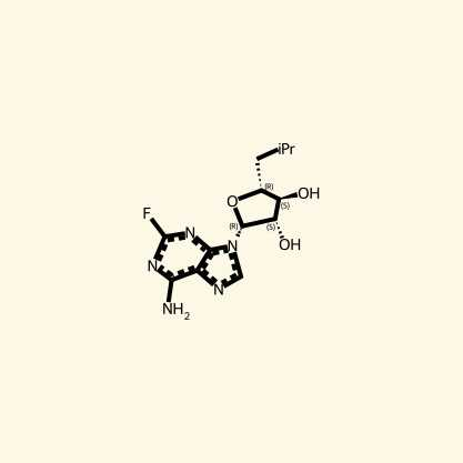 CC(C)C[C@H]1O[C@@H](n2cnc3c(N)nc(F)nc32)[C@@H](O)[C@@H]1O